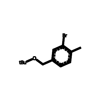 Cc1ccc(COC(C)(C)C)cc1Br